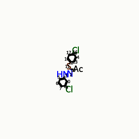 CC(=O)C(=NNc1cccc(Cl)c1)Sc1ccc(Cl)cc1